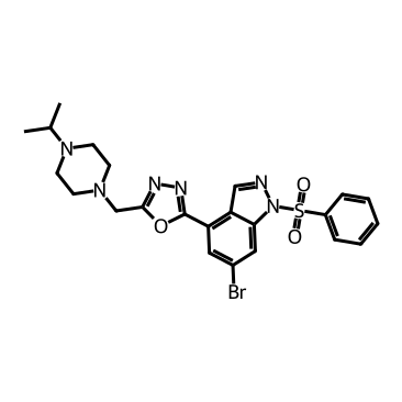 CC(C)N1CCN(Cc2nnc(-c3cc(Br)cc4c3cnn4S(=O)(=O)c3ccccc3)o2)CC1